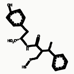 CC(c1ccccc1)C(CSS)C(=O)N[C@@H](Cc1ccc(O)cc1)C(=O)O